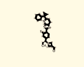 CC[C@@H](c1ccc(-c2nc3ccc(C4(c5ccccc5)CC4)nc3s2)c(F)c1)N1CC(C=O)C1